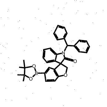 CC1(C)OB(c2ccc3c(c2)C2(CO3)C(=O)N(C(c3ccccc3)c3ccccc3)c3ccccc32)OC1(C)C